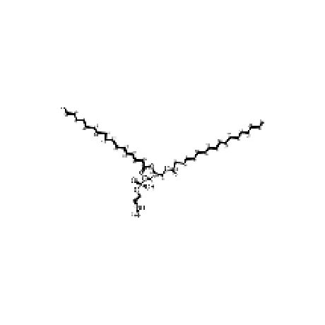 [2H]NCCOP(=O)(O)OC[C@@H](COC(=O)CCCCCCCCCCCCCCCCC)OC(=O)CCCCCCCCCCCCCCCCC